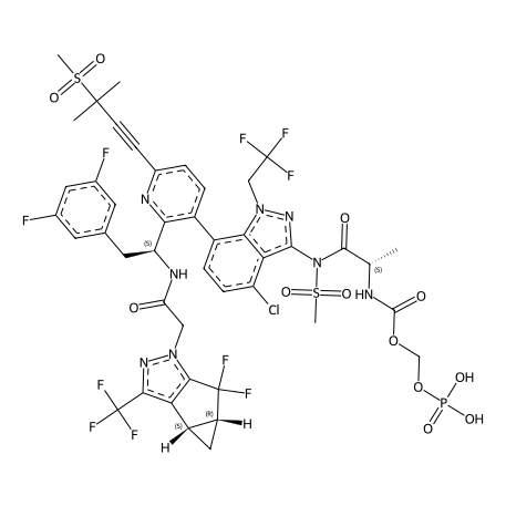 C[C@H](NC(=O)OCOP(=O)(O)O)C(=O)N(c1nn(CC(F)(F)F)c2c(-c3ccc(C#CC(C)(C)S(C)(=O)=O)nc3[C@H](Cc3cc(F)cc(F)c3)NC(=O)Cn3nc(C(F)(F)F)c4c3C(F)(F)[C@@H]3C[C@H]43)ccc(Cl)c12)S(C)(=O)=O